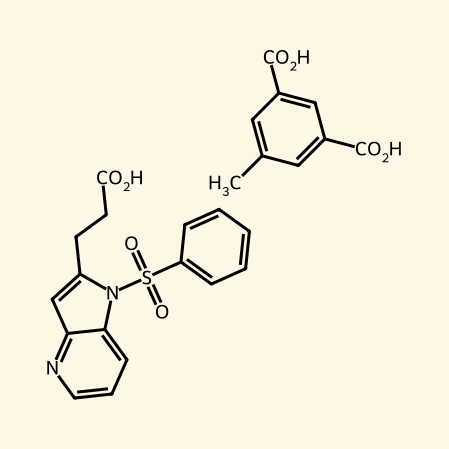 Cc1cc(C(=O)O)cc(C(=O)O)c1.O=C(O)CCc1cc2ncccc2n1S(=O)(=O)c1ccccc1